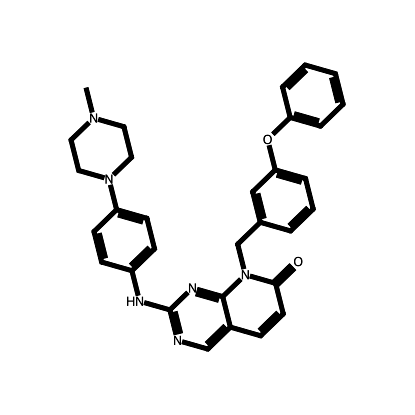 CN1CCN(c2ccc(Nc3ncc4ccc(=O)n(Cc5cccc(Oc6ccccc6)c5)c4n3)cc2)CC1